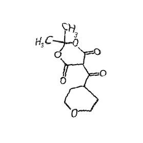 CC1(C)OC(=O)C(C(=O)C2CCOCC2)C(=O)O1